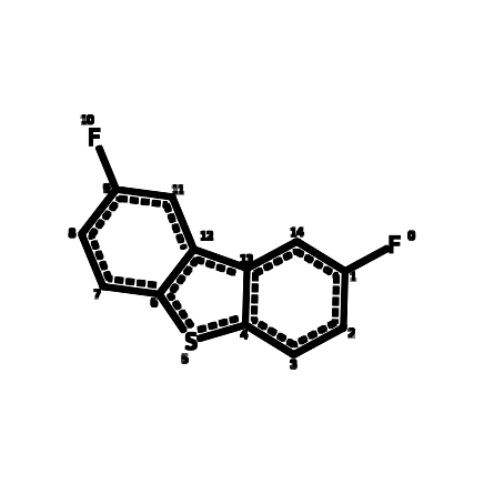 Fc1ccc2sc3ccc(F)cc3c2c1